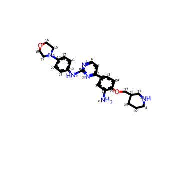 Nc1cc(-c2ccnc(Nc3ccc(N4CCOCC4)cc3)n2)ccc1OCC1CCCNC1